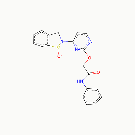 O=C(COc1nccc(N2Cc3ccccc3[S+]2[O-])n1)Nc1ccccc1